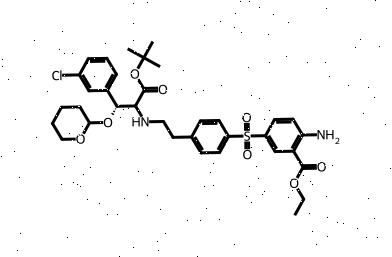 CCOC(=O)c1cc(S(=O)(=O)c2ccc(CCNC(C(=O)OC(C)(C)C)[C@H](OC3CCCCO3)c3cccc(Cl)c3)cc2)ccc1N